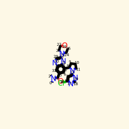 CN(C)C(=O)c1cc(C2CCCN2c2cc(Cl)ncn2)c2nc(N3CCOCC3)cnc2c1